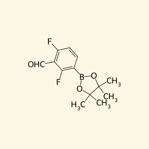 CC1(C)OB(c2ccc(F)c(C=O)c2F)OC1(C)C